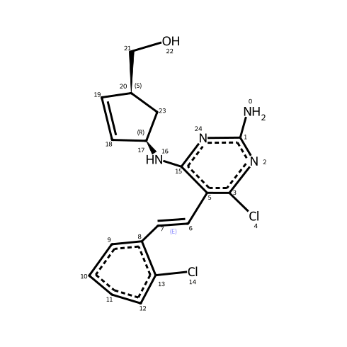 Nc1nc(Cl)c(/C=C/c2ccccc2Cl)c(N[C@H]2C=C[C@@H](CO)C2)n1